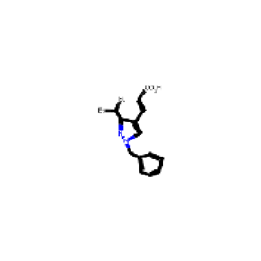 CCC(CC)c1nn(Cc2ccccc2)cc1/C=C/C(=O)O